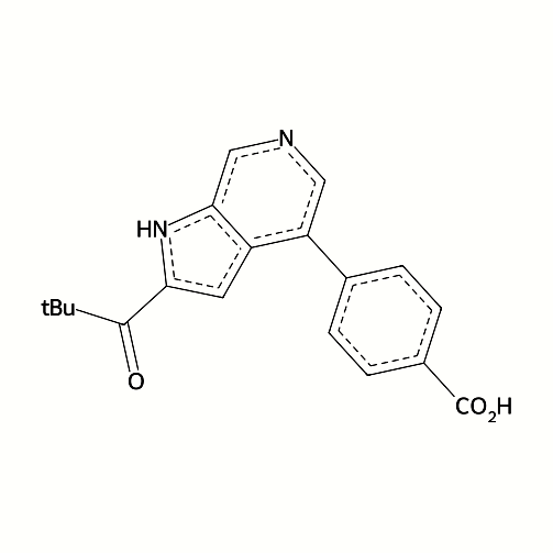 CC(C)(C)C(=O)c1cc2c(-c3ccc(C(=O)O)cc3)cncc2[nH]1